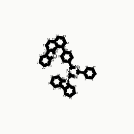 c1ccc(-c2nc(-c3ccc(-c4cccc5ccc6c7ccccc7oc6c45)cc3)nc(-n3c4ccccc4c4ccccc43)n2)cc1